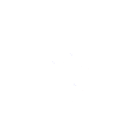 c1ccc(-c2nc3c(ccc4oc5cc(N(c6ccc7sc8ccccc8c7c6)c6cccc7c6c6ccccc6n7-c6ccccc6)ccc5c43)o2)cc1